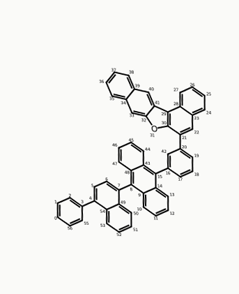 c1ccc(-c2ccc(-c3c4ccccc4c(-c4cccc(-c5cc6ccccc6c6c5oc5cc7ccccc7cc56)c4)c4ccccc34)c3ccccc23)cc1